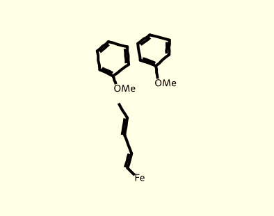 CC=CC=[CH][Fe].COc1ccccc1.COc1ccccc1